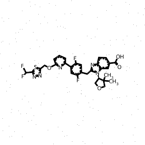 CC1(C)COC[C@H]1n1c(Cc2cc(F)c(-c3cccc(OCc4nnc(C(F)F)s4)n3)cc2F)nc2ccc(C(=O)O)cc21